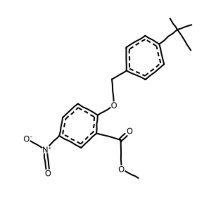 COC(=O)c1cc([N+](=O)[O-])ccc1OCc1ccc(C(C)(C)C)cc1